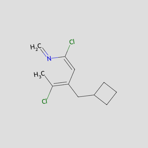 C=N/C(Cl)=C\C(CC1CCC1)=C(/C)Cl